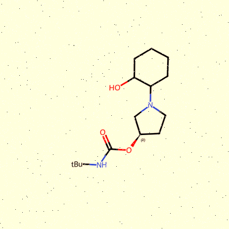 CC(C)(C)NC(=O)O[C@@H]1CCN(C2CCCCC2O)C1